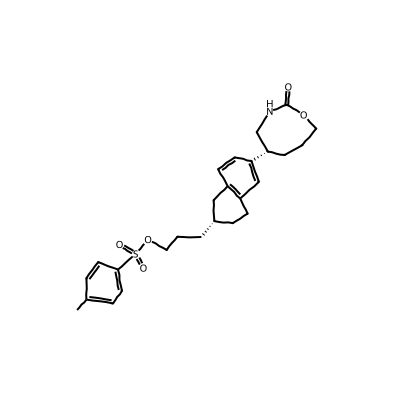 Cc1ccc(S(=O)(=O)OCCC[C@H]2CCc3cc([C@H]4CCCOC(=O)NC4)ccc3C2)cc1